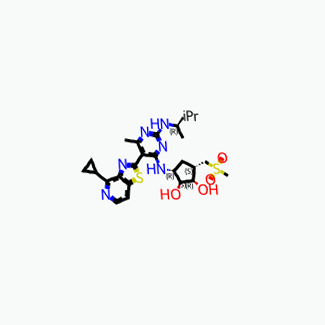 Cc1nc(N[C@H](C)C(C)C)nc(N[C@@H]2C[C@H](CS(C)(=O)=O)[C@@H](O)[C@H]2O)c1-c1nc2c(C3CC3)nccc2s1